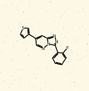 Fc1ccccc1-c1nnc2cc(-c3ccsc3)cnn12